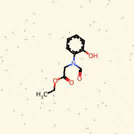 CCOC(=O)CN(C=O)c1ccccc1O